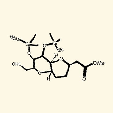 COC(=O)C[C@H]1CC[C@@H]2O[C@@H](CC=O)C(O[Si](C)(C)C(C)(C)C)C(O[Si](C)(C)C(C)(C)C)[C@H]2O1